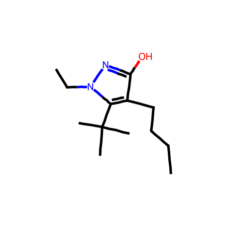 CCCCc1c(O)nn(CC)c1C(C)(C)C